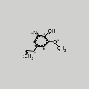 C=CCc1ccc(O)c(OC)c1.[Na]